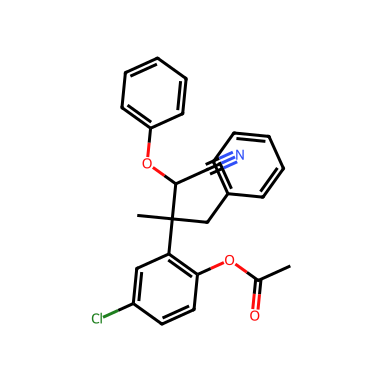 CC(=O)Oc1ccc(Cl)cc1C(C)(Cc1ccccc1)C(C#N)Oc1ccccc1